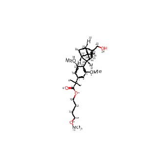 COc1cc(C(C)(C)C(=O)OCCCCO[N+](=O)[O-])cc(OC)c1[C@H]1C=C(CO)[C@H]2C[C@@H]1C2(C)C